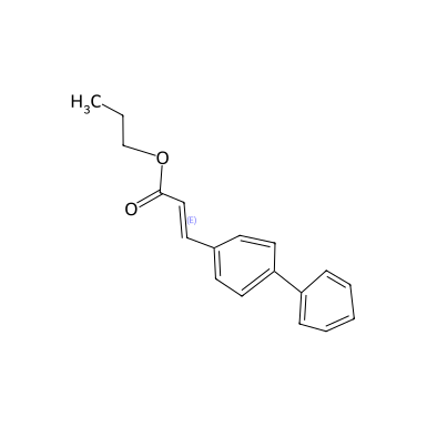 CCCOC(=O)/C=C/c1ccc(-c2ccccc2)cc1